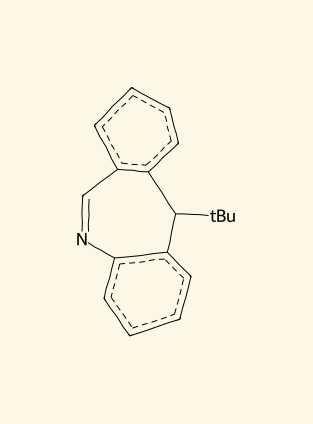 CC(C)(C)C1c2ccccc2C=Nc2ccccc21